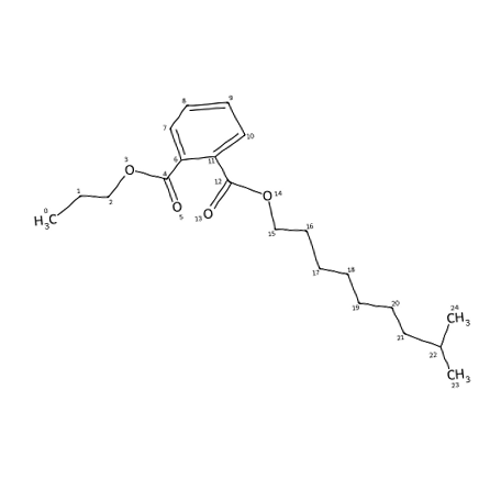 CCCOC(=O)c1ccccc1C(=O)OCCCCCCCC(C)C